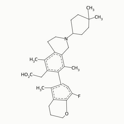 Cc1c(-c2c(C)c3c(c(C)c2CC(=O)O)CCN(C2CCC(C)(C)CC2)C3)cc(F)c2c1CCCO2